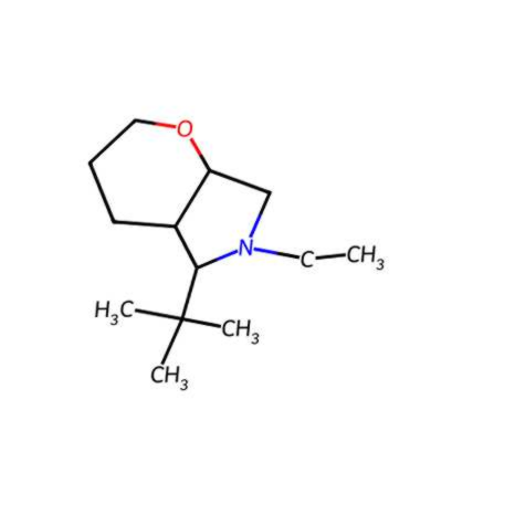 CCN1CC2OCCCC2C1C(C)(C)C